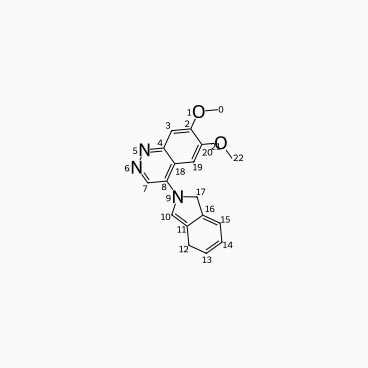 COc1cc2nncc(N3C=C4CC=CC=C4C3)c2cc1OC